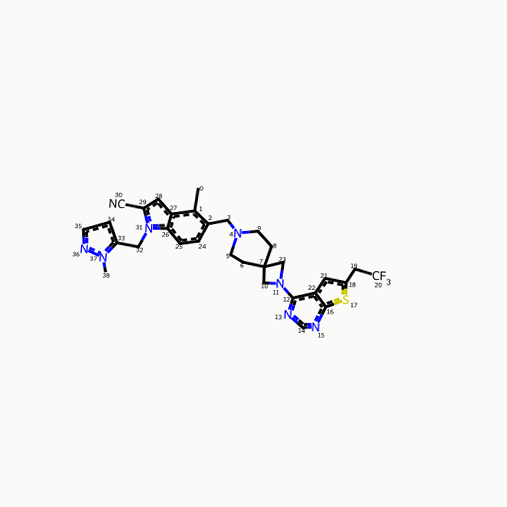 Cc1c(CN2CCC3(CC2)CN(c2ncnc4sc(CC(F)(F)F)cc24)C3)ccc2c1cc(C#N)n2Cc1ccnn1C